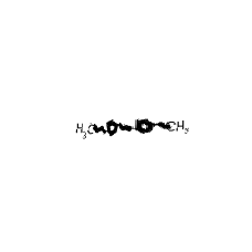 CC=CCC[C@H]1CC[C@H](CCC=C[C@H]2CC[C@H](CCC)CC2)CC1